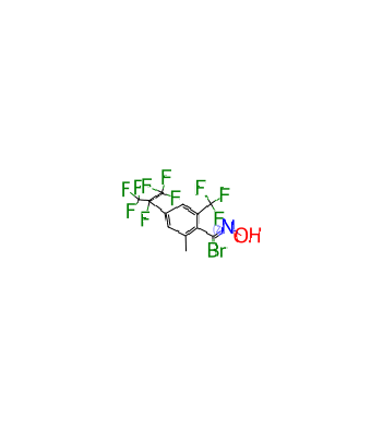 Cc1cc(C(F)(C(F)(F)F)C(F)(F)F)cc(C(F)(F)F)c1/C(Br)=N/O